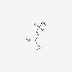 CS(=O)(=O)/C=C/C(N)C1CC1